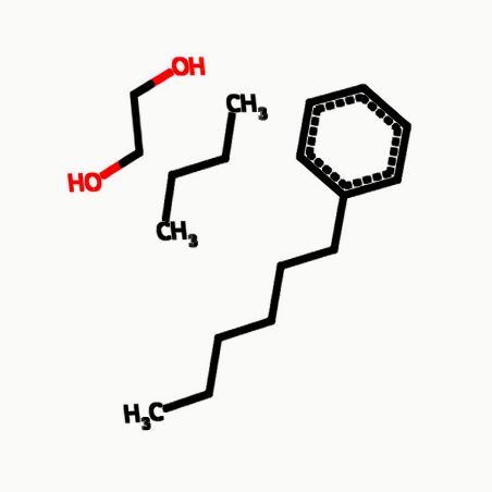 CCCC.CCCCCCc1ccccc1.OCCO